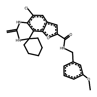 C=C1Nc2c(Cl)cc3cc(C(=O)NCc4cccc(OC)c4)oc3c2C2(CCCCC2)N1